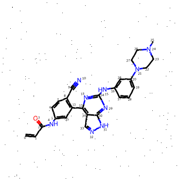 C=CC(=O)Nc1ccc(C#N)c(-c2nc(Nc3cccc(N4CCN(C)CC4)c3)nc3[nH]ncc23)c1